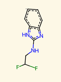 FC(F)CNc1nc2cc[c]cc2[nH]1